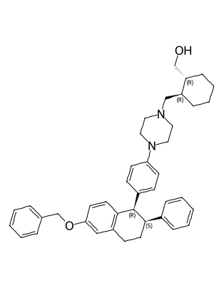 OC[C@@H]1CCCC[C@H]1CN1CCN(c2ccc([C@@H]3c4ccc(OCc5ccccc5)cc4CC[C@@H]3c3ccccc3)cc2)CC1